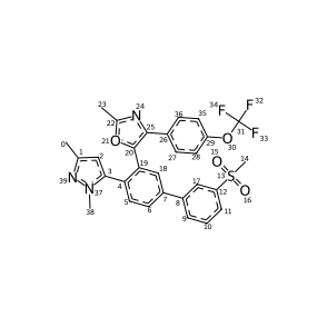 Cc1cc(-c2ccc(-c3cccc(S(C)(=O)=O)c3)cc2-c2oc(C)nc2-c2ccc(OC(F)(F)F)cc2)n(C)n1